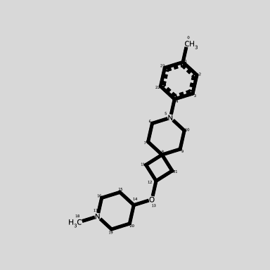 Cc1ccc(N2CCC3(CC2)CC(OC2CCN(C)CC2)C3)cc1